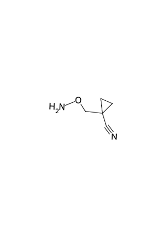 N#CC1(CON)CC1